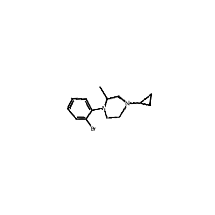 CC1CN(C2CC2)CCN1c1ccccc1Br